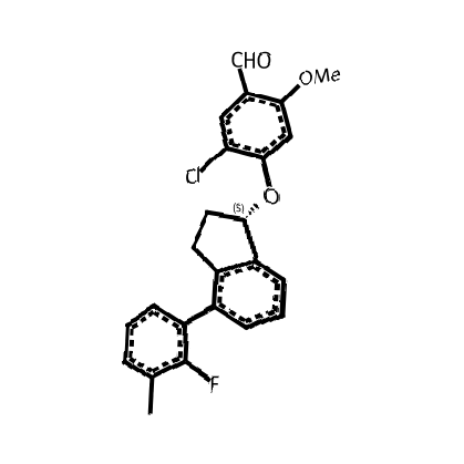 COc1cc(O[C@H]2CCc3c(-c4cccc(C)c4F)cccc32)c(Cl)cc1C=O